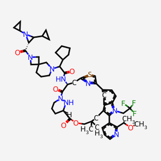 CO[C@@H](C)c1ncccc1-c1c2c3cc(ccc3n1CC(F)(F)F)-c1csc(n1)C[C@H](NC(=O)C(C1CCCC1)N1CCCC3(CN(C(=O)[C@H]4C(C5CC5)N4C4CC4)C3)C1)C(=O)N1CCC[C@H](N1)C(=O)OCC(C)(C)C2